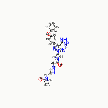 Nc1ncnc2c1c(-c1ccc(Oc3ccccc3)cc1)nn2C1CN(C(=O)CNCCCN2CCCC2=O)C1